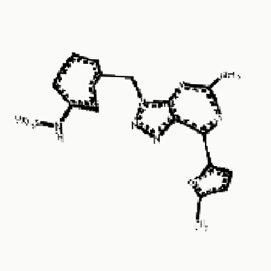 Cc1ccc(-c2nc(N)nc3c2nnn3Cc2cccc(NS(=O)(=O)O)c2)o1